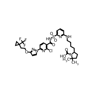 CC1(C)CCC(CCCCNc2cccc(S(=O)(=O)NC(=O)c3ccc(-n4ccc(OCCC5(C(F)(F)F)CC5)n4)nc3Cl)n2)N1C(=O)O